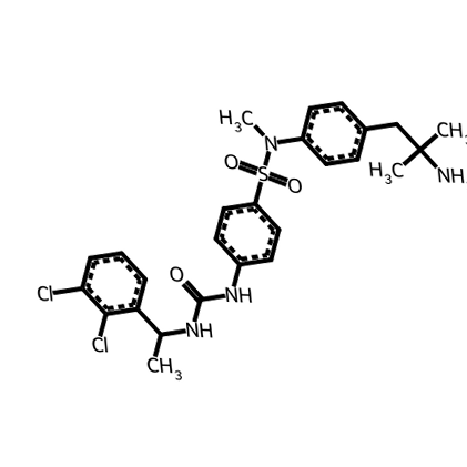 CC(NC(=O)Nc1ccc(S(=O)(=O)N(C)c2ccc(CC(C)(C)N)cc2)cc1)c1cccc(Cl)c1Cl